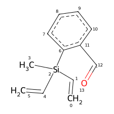 C=C[Si](C)(C=C)c1ccccc1[C]=O